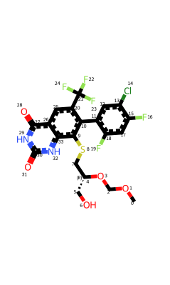 COCO[C@H](CO)CSc1c(-c2cc(Cl)c(F)cc2F)c(C(F)(F)F)cc2c(=O)[nH]c(=O)[nH]c12